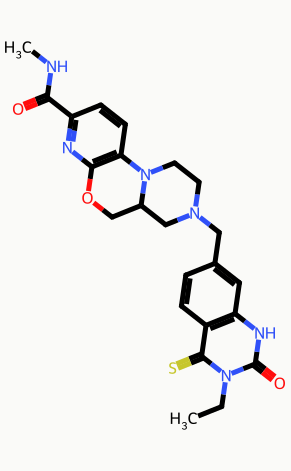 CCn1c(=O)[nH]c2cc(CN3CCN4c5ccc(C(=O)NC)nc5OCC4C3)ccc2c1=S